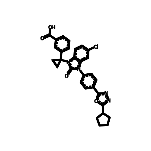 O=C(O)c1cccc(C2(n3c(=O)n(-c4ccc(-c5nnc(C6CCCC6)o5)cc4)c4cc(Cl)ccc43)CC2)c1